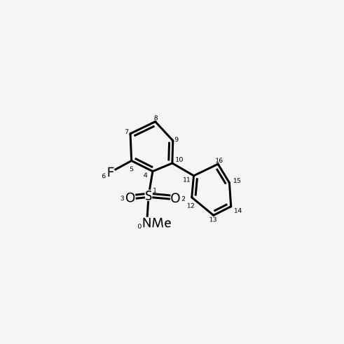 CNS(=O)(=O)c1c(F)cccc1-c1ccccc1